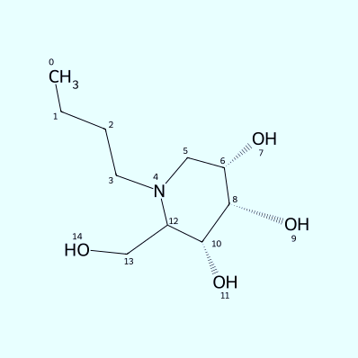 CCCCN1C[C@H](O)[C@H](O)[C@H](O)C1CO